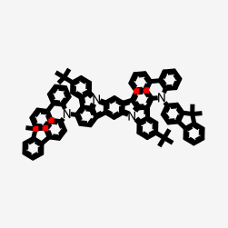 CC(C)(C)c1ccc2c(c1)c1c(N(c3ccc4c(c3)C(C)(C)c3ccccc3-4)c3ccccc3-c3ccccc3)ccc3c4cc5c(cc4n2c31)c1ccc(N(c2ccc3c(c2)C(C)(C)c2ccccc2-3)c2ccccc2-c2ccccc2)c2c3cc(C(C)(C)C)ccc3n5c12